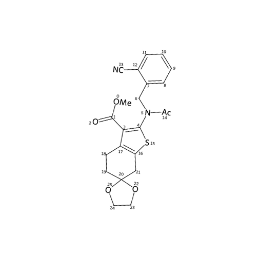 COC(=O)c1c(N(Cc2ccccc2C#N)C(C)=O)sc2c1CCC1(C2)OCCO1